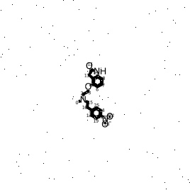 CN(CCOc1cccc2c1CC(=O)N2)CCc1ccc([N+](=O)[O-])cc1